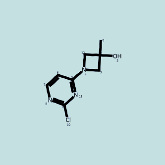 CC1(O)CN(c2ccnc(Cl)n2)C1